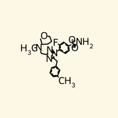 Cc1cccc(Cc2nc(CN(C)C3CCCOC3)nn2-c2ccc(S(N)(=O)=O)cc2F)c1